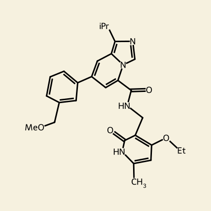 CCOc1cc(C)[nH]c(=O)c1CNC(=O)c1cc(-c2cccc(COC)c2)cc2c(C(C)C)ncn12